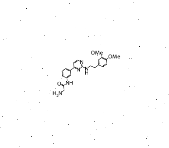 COc1ccc(CCNc2nccc(-c3cccc(NC(=O)CN)c3)n2)cc1OC